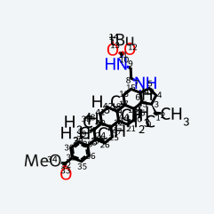 C=C(C)[C@@H]1CC[C@]2(NCCNC(=O)OC(C)(C)C)CC[C@]3(C)[C@H](CC[C@@H]4[C@@]5(C)CC=C(c6ccc(C(=O)OC)cc6)C(C)(C)[C@@H]5CC[C@]43C)[C@@H]12